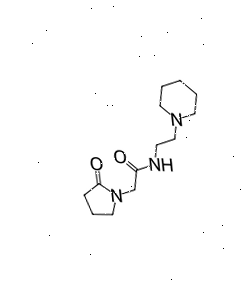 O=C(CN1CCCC1=O)NCCN1CCCCC1